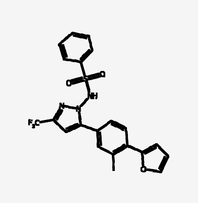 Cc1cc(-c2cc(C(F)(F)F)nn2NS(=O)(=O)c2ccccc2)ccc1-c1ccco1